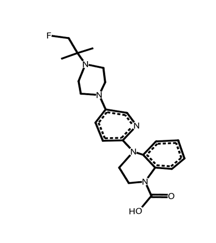 CC(C)(CF)N1CCN(c2ccc(N3CCN(C(=O)O)c4ccccc43)nc2)CC1